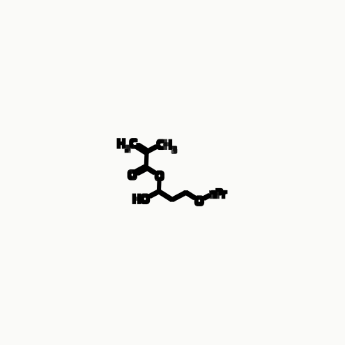 [CH2]CCOCCC(O)OC(=O)C(=C)C